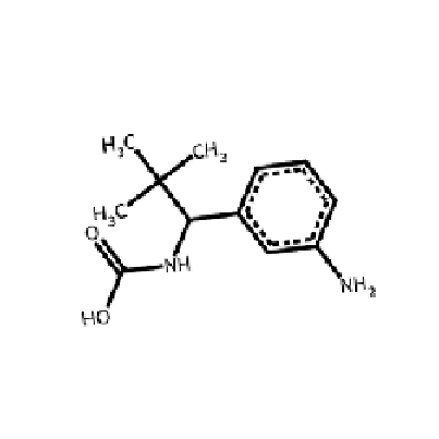 CC(C)(C)C(NC(=O)O)c1cccc(N)c1